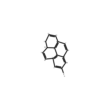 Ic1cc2c3c4c(ccc3c1)C=CCC4C=C2